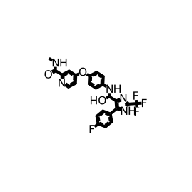 CNC(=O)c1cc(Oc2ccc(NC(O)c3nc(C(F)(F)F)[nH]c3-c3ccc(F)cc3)cc2)ccn1